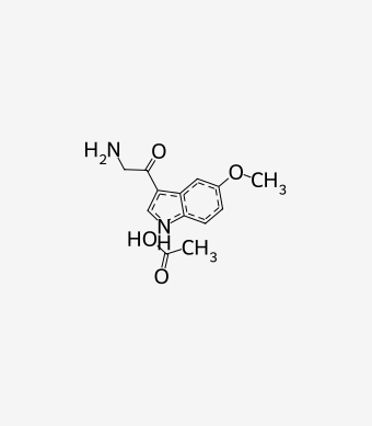 CC(=O)O.COc1ccc2[nH]cc(C(=O)CN)c2c1